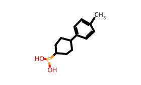 Cc1ccc(C2CCC(P(O)O)CC2)cc1